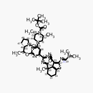 C[C@H](Oc1nc(-c2noc([C@@]3(C)CCCc4sc(/N=C/N(C)C)c(C#N)c43)n2)cc(N2C[C@@H](C)N(C(=O)OC(C)(C)C)[C@@H](C)C2)n1)[C@@H]1CCCN1C